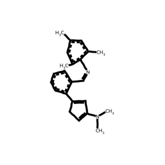 Cc1cc(C)c(/N=C\c2ccccc2C2=CC(N(C)C)=CC2)c(C)c1